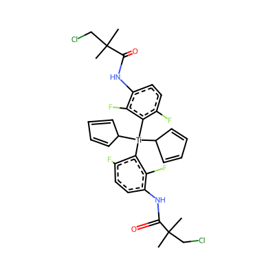 CC(C)(CCl)C(=O)Nc1ccc(F)[c]([Ti]([c]2c(F)ccc(NC(=O)C(C)(C)CCl)c2F)([CH]2C=CC=C2)[CH]2C=CC=C2)c1F